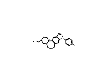 CCOC[C@@]1(O)CC[C@]2(CC)c3cc4cnn(-c5ccc(F)cc5)c4cc3CCC[C@H]2C1